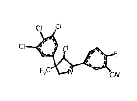 N#Cc1cc(C2=NCC(c3cc(Cl)c(Cl)c(Cl)c3)(C(F)(F)F)C2Cl)ccc1F